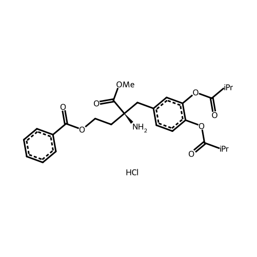 COC(=O)[C@@](N)(CCOC(=O)c1ccccc1)Cc1ccc(OC(=O)C(C)C)c(OC(=O)C(C)C)c1.Cl